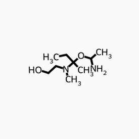 CCC(C)(OC(C)N)N(C)CCO